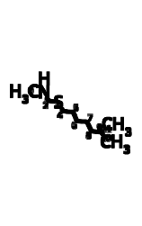 CNCSCCCCCC(C)C